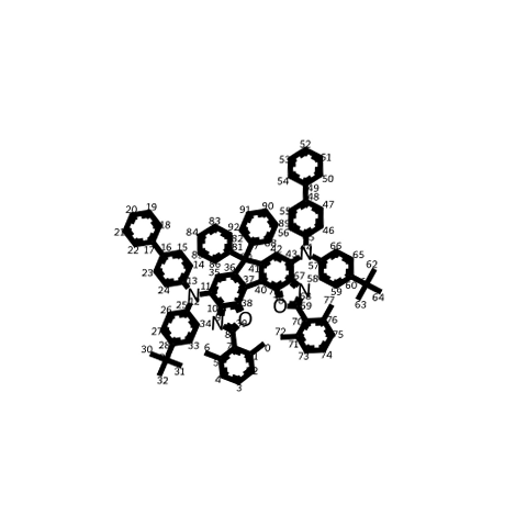 Cc1cccc(C)c1-c1nc2c(N(c3ccc(-c4ccccc4)cc3)c3ccc(C(C)(C)C)cc3)cc3c(c2o1)-c1c(cc(N(c2ccc(-c4ccccc4)cc2)c2ccc(C(C)(C)C)cc2)c2nc(-c4c(C)cccc4C)oc12)C3(c1ccccc1)c1ccccc1